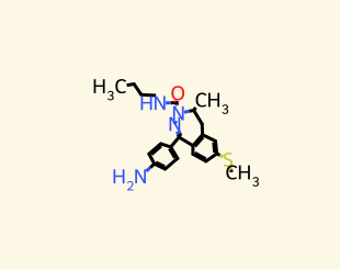 CCCCNC(=O)N1N=C(c2ccc(N)cc2)c2ccc(SC)cc2CC1C